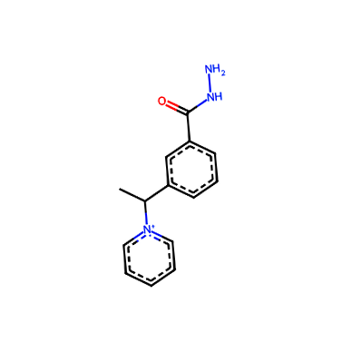 CC(c1cccc(C(=O)NN)c1)[n+]1ccccc1